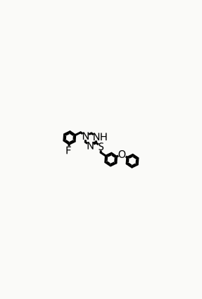 Fc1cccc(CN2CN=C(SCc3cccc(Oc4ccccc4)c3)NC2)c1